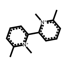 Cc1cccc(-c2cccc(C)[n+]2C)[n+]1C